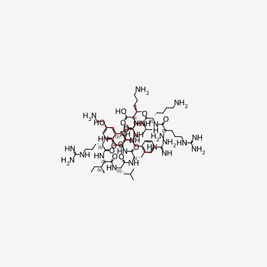 CC[C@H](C)[C@H](NC(=O)[C@H](CCCNC(=N)N)NC(=O)[C@H](CCCCN)NC(=O)[C@H](Cc1ccccc1)NC(=O)[C@H](CC(C)C)NC(=O)[C@H](CCCCN)NC(=O)[C@@H](N)CCCNC(=N)N)C(=O)N[C@@H](CC(C)C)C(=O)N[C@@H](CCCNC(=N)N)C(=O)N[C@@H](Cc1ccc(O)cc1)C(=O)N[C@@H](CC(C)C)C(=O)N[C@@H](CCCCN)C(=O)O